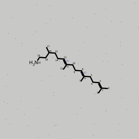 CC(C)=CCC/C(C)=C/CC/C(C)=C/CCC(C)CCN